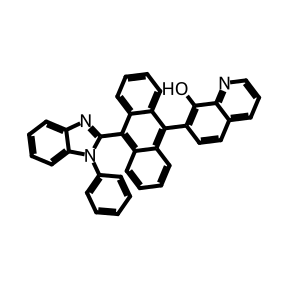 Oc1c(-c2c3ccccc3c(-c3nc4ccccc4n3-c3ccccc3)c3ccccc23)ccc2cccnc12